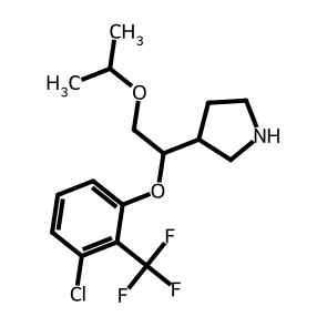 CC(C)OCC(Oc1cccc(Cl)c1C(F)(F)F)C1CCNC1